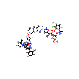 CC(NC(=O)[C@@H]1C[C@@H](O)CN1C(=O)[C@@H](c1cc(N2CCC(CN3CCC(OC4CC(Oc5cc(N6C7CC[C@@H]6CN(c6cc(-c8ccccc8O)nnc6N)C7)ccn5)C4)CC3)CC2)no1)C(C)C)c1ccc(C#N)c(F)c1